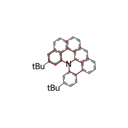 CC(C)(C)c1ccc(-c2ccccc2)c(N(c2cc(C(C)(C)C)ccc2-c2ccccc2)c2ccccc2-c2cccc3cccc(C4CCCCC4)c23)c1